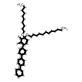 CCCCCCCCCCCCOC1(OCCCCCCCCCC)C=CC(c2ccc(-c3ccc(-c4ccccc4)cc3)cc2)=C(F)C1F